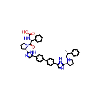 C[C@@H](CN1CCC[C@H]1c1ncc(-c2ccc(-c3ccc(-c4cnc([C@@H]5CCCN5C(=O)[C@H](NC(=O)O)c5ccccc5)[nH]4)cc3)cc2)[nH]1)c1ccccc1